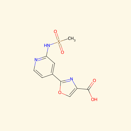 CS(=O)(=O)Nc1cc(-c2nc(C(=O)O)co2)ccn1